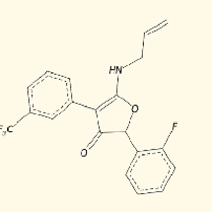 C=CCNC1=C(c2cccc(C(F)(F)F)c2)C(=O)C(c2ccccc2F)O1